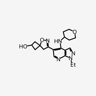 CCn1ncc2c(NC3CCOCC3)c(C3=NOC4(C3)CC(O)C4)cnc21